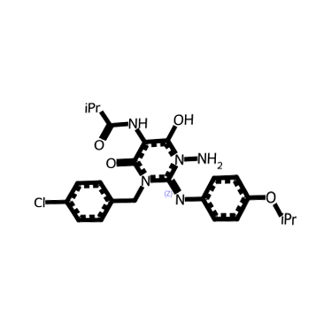 CC(C)Oc1ccc(/N=c2\n(N)c(O)c(NC(=O)C(C)C)c(=O)n2Cc2ccc(Cl)cc2)cc1